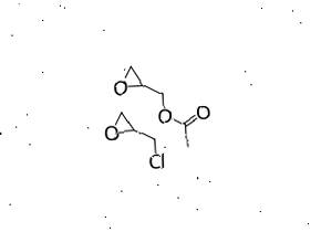 CC(=O)OCC1CO1.ClCC1CO1